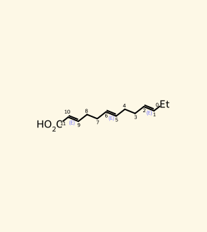 CC/C=C/CC/C=C/CC/C=C/C(=O)O